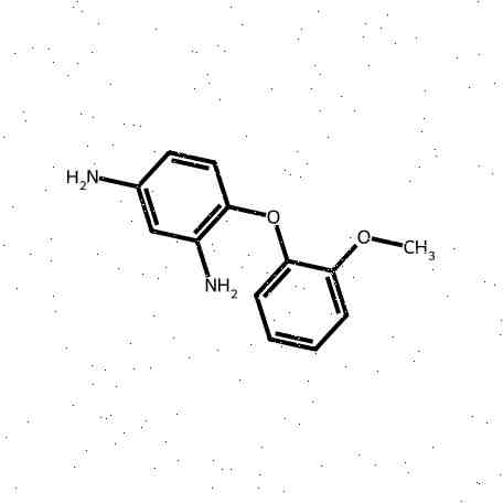 COc1ccccc1Oc1ccc(N)cc1N